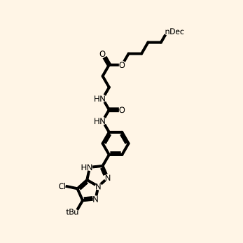 CCCCCCCCCCCCCCOC(=O)CCNC(=O)Nc1cccc(-c2nn3nc(C(C)(C)C)c(Cl)c3[nH]2)c1